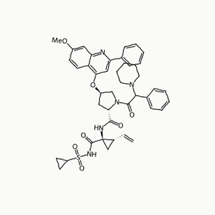 C=C[C@@H]1C[C@]1(NC(=O)[C@@H]1C[C@@H](Oc2cc(-c3ccccc3)nc3cc(OC)ccc23)CN1C(=O)C(c1ccccc1)N1CCCCC1)C(=O)NS(=O)(=O)C1CC1